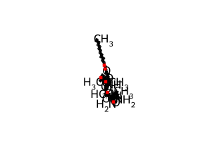 CCCCCCCCCCCCCCCCOCCCOC(=O)[C@H](C)NP(=O)(OCc1ccccc1C)OC[C@H]1O[C@@H](n2cc(C(N)=O)c3c(N)nc(C)nc32)[C@H](O)[C@@H]1O